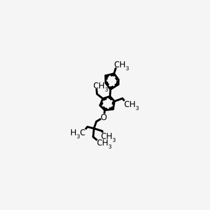 CCc1cc(OCC(CC)(CC)CC)cc(CC)c1-c1ccc(C)cc1